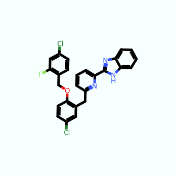 Fc1cc(Cl)ccc1COc1ccc(Cl)cc1Cc1cccc(-c2nc3ccccc3[nH]2)n1